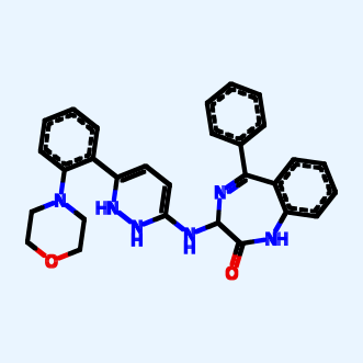 O=C1Nc2ccccc2C(c2ccccc2)=NC1NC1=CC=C(c2ccccc2N2CCOCC2)NN1